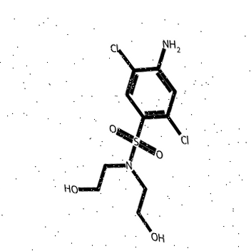 Nc1cc(Cl)c(S(=O)(=O)N(CCO)CCO)cc1Cl